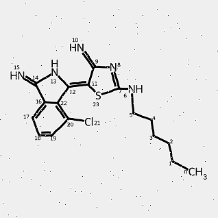 CCCCCCNC1=NC(=N)C(=C2NC(=N)c3cccc(Cl)c32)S1